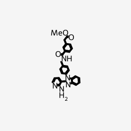 COC(=O)Cc1cccc(C(=O)NCc2ccc(-n3c(-c4cccnc4N)nc4ccccc43)cc2)c1